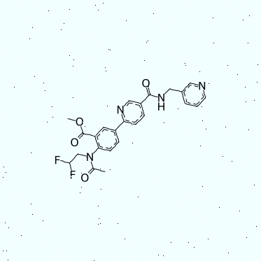 COC(=O)c1cc(-c2ccc(C(=O)NCc3cccnc3)cn2)ccc1N(CC(F)F)C(C)=O